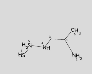 CC(N)CN[SiH2]S